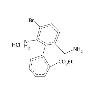 CCOC(=O)c1ccccc1-c1c(CN)ccc(Br)c1N.Cl